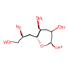 OC[C@@H](O)[C@H]1O[C@H](O)C(O)[C@@H]1O